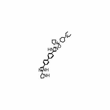 CCN(CC)[C@H]1CC[C@@H](C(=O)N2CCC[C@H]2c2ncc(-c3ccc(-c4ccc(-c5cnc([C@@H]6CCCN6)[nH]5)cc4)cc3)[nH]2)CC1